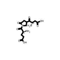 N[C@@H](CC(=O)O)C(=O)C1CC(=O)N(C(=O)[C@@H](N)CCC(=O)O)C1